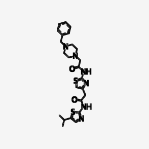 CC(C)c1cnc(NC(=O)Cc2csc(NC(=O)CN3CCN(Cc4ccccc4)CC3)n2)s1